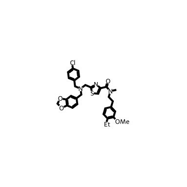 CCc1ccc(CCN(C)C(=O)c2csc(CN(Cc3ccc(Cl)cc3)Cc3ccc4c(c3)OCO4)n2)cc1OC